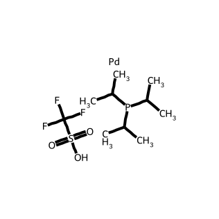 CC(C)P(C(C)C)C(C)C.O=S(=O)(O)C(F)(F)F.[Pd]